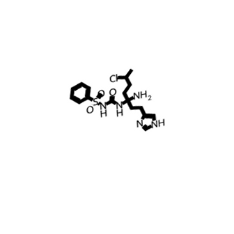 CC(Cl)CCC(N)(CCc1c[nH]cn1)NC(=O)NS(=O)(=O)c1ccccc1